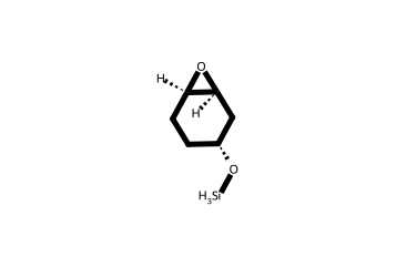 [SiH3]O[C@@H]1CC[C@H]2O[C@H]2C1